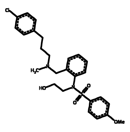 COc1ccc(S(=O)(=O)N(CCO)c2ccccc2CN(C)CCCc2ccc(Cl)cc2)cc1